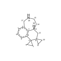 c1cc2c3c(c1)C1(CC1)C1(CC1)C[C@H]3CCNC2